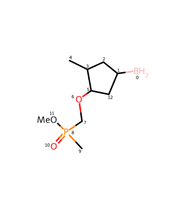 BC1CC(C)C(OCP(C)(=O)OC)C1